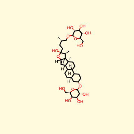 C[C@@H](CC[C@@]1(O)O[C@H]2C[C@H]3[C@@H]4CC[C@@H]5C[C@@H](O[C@@H]6O[C@H](CO)[C@H](O)[C@H](O)[C@H]6O)CC[C@]5(C)[C@H]4CC[C@]3(C)[C@H]2[C@@H]1C)CO[C@@H]1O[C@H](CO)[C@@H](O)[C@H](O)[C@H]1O